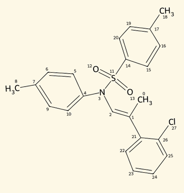 C/C(=C\N(c1ccc(C)cc1)S(=O)(=O)c1ccc(C)cc1)c1ccccc1Cl